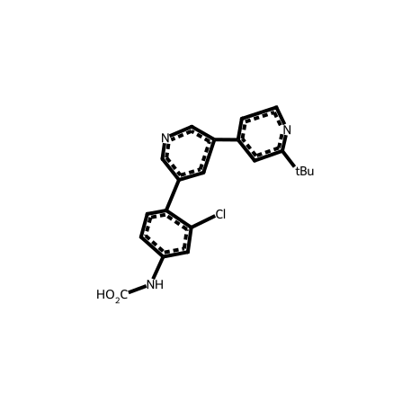 CC(C)(C)c1cc(-c2cncc(-c3ccc(NC(=O)O)cc3Cl)c2)ccn1